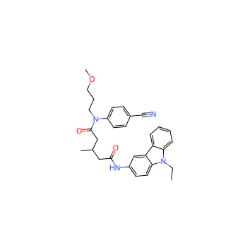 CCn1c2ccccc2c2cc(NC(=O)CC(C)CC(=O)N(CCCOC)c3ccc(C#N)cc3)ccc21